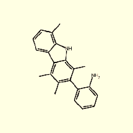 Cc1c(-c2ccccc2N)c(C)c2[nH]c3c(C)cccc3c2c1C